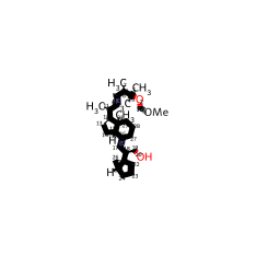 COCOC(C)(C)[C@@H](C)/C=C/[C@@H](C)[C@H]1CC[C@H]2/C(=C/[C@@H](CO)[C@@]34C=CC[C@@H]3C4)CCC[C@]12C